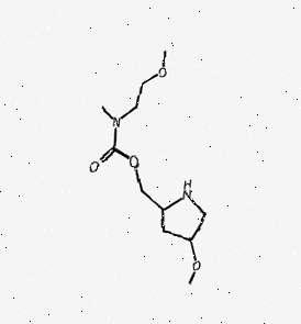 COCCN(C)C(=O)OCC1CC(OC)CN1